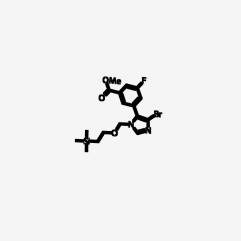 COC(=O)c1cc(F)cc(-c2c(Br)ncn2COCC[Si](C)(C)C)c1